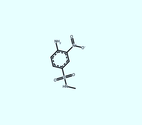 CNS(=O)(=O)c1ccc(N)c([N+](=O)[O-])c1